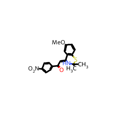 COc1ccc2c(c1)/C(=C/C(=O)c1ccc([N+](=O)[O-])cc1)NC(C)(C)S2